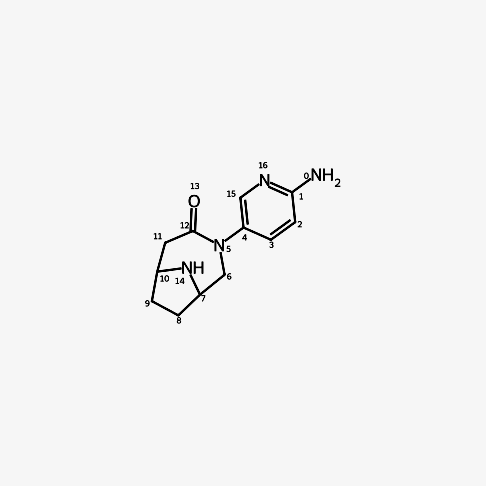 Nc1ccc(N2CC3CCC(CC2=O)N3)cn1